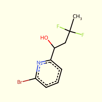 CC(F)(F)CC(O)c1cccc(Br)n1